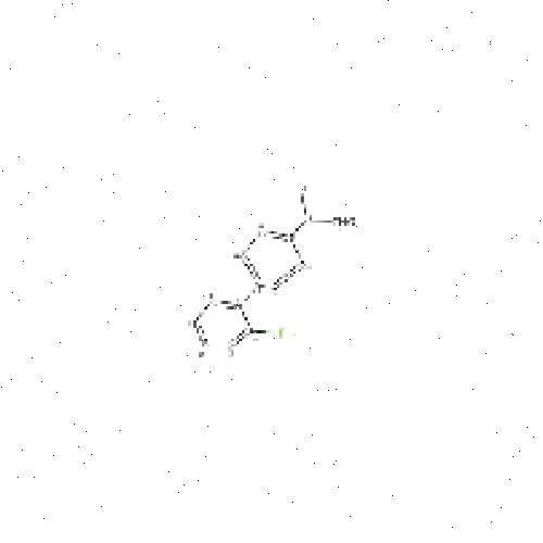 CC(C=O)c1ccc(-c2ccccc2F)cc1